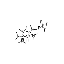 CN(C)P(=[NH+][PH](N(C)C)(N(C)C)N(C)C)(N(C)C)N(C)C.F[B-](F)(F)F